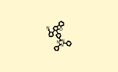 N#Cc1ccccc1-c1ccc2c(oc3ccccc32)c1-c1ccc(-c2nc(-c3ccccc3)nc(-c3ccccc3)n2)cc1